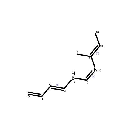 C=C/C=C/B/C=N\C(C)=C\C